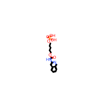 O=C(Nc1cc2ccccc2cn1)OCCCCCOP(=O)(O)O